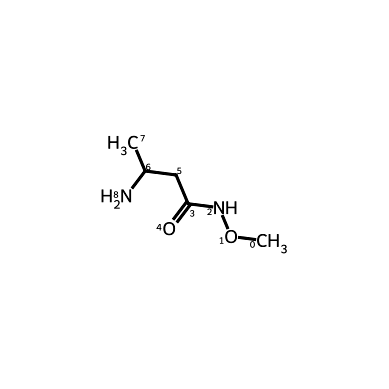 CONC(=O)CC(C)N